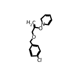 C=C(COCc1ccc(Cl)cc1)ON1C=CC=CC1